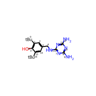 CC(C)(C)c1cc(CNc2nc(N)nc(N)n2)cc(C(C)(C)C)c1O